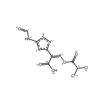 O=CNc1nc(C(=NOC(=O)C(Cl)Cl)C(=O)O)ns1